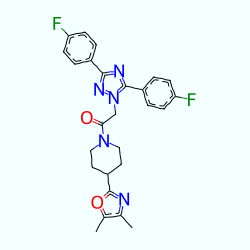 Cc1nc(C2CCN(C(=O)Cn3nc(-c4ccc(F)cc4)nc3-c3ccc(F)cc3)CC2)oc1C